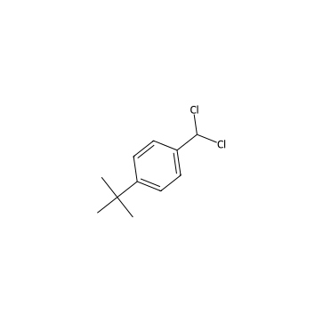 CC(C)(C)c1ccc(C(Cl)Cl)cc1